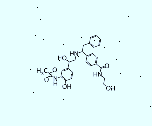 CS(=O)(=O)Nc1cc([C@@H](O)CNC(Cc2ccccc2)c2ccc(C(=O)NCCO)cc2)ccc1O